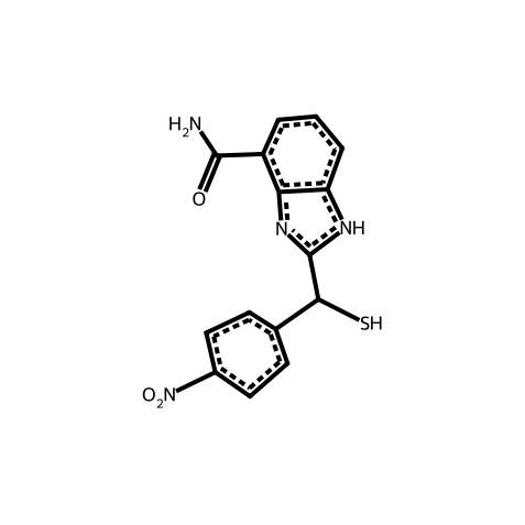 NC(=O)c1cccc2[nH]c(C(S)c3ccc([N+](=O)[O-])cc3)nc12